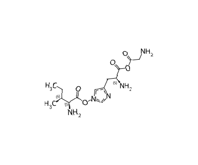 CC[C@H](C)[C@H](N)C(=O)On1cnc(C[C@H](N)C(=O)OC(=O)CN)c1